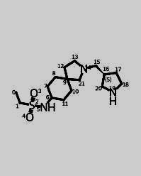 CCS(=O)(=O)NC1CCC2(CC1)CCN(C[C@H]1CCNC1)C2